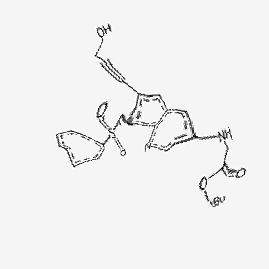 CC(C)(C)OC(=O)Nc1cnc2c(c1)cc(C#CCO)n2S(=O)(=O)c1ccccc1